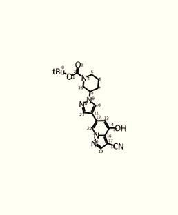 CC(C)(C)OC(=O)N1CCCC(n2cc(-c3cc(O)c4c(C#N)cnn4c3)cn2)C1